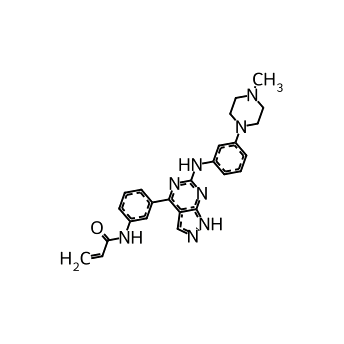 C=CC(=O)Nc1cccc(-c2nc(Nc3cccc(N4CCN(C)CC4)c3)nc3[nH]ncc23)c1